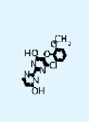 COc1ccccc1Oc1c(O)nc(-c2nccc(O)n2)nc1Cl